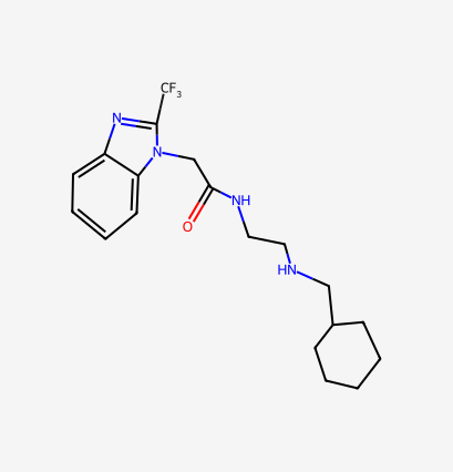 O=C(Cn1c(C(F)(F)F)nc2ccccc21)NCCNCC1CCCCC1